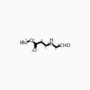 CC(C)(C)OC(=O)CCNCC=O